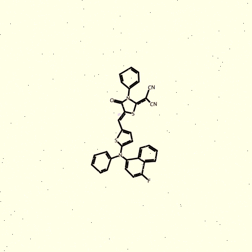 N#CC(C#N)=c1s/c(=C\c2ccc(N(c3ccccc3)c3ccc(F)c4ccccc34)s2)c(=O)n1-c1ccccc1